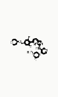 C[C@@H]1C[C@H](N)C[C@H](c2ccncc2Nc2ncc3ccc(-c4c(F)cc(COC5CCOCC5)cc4F)nn23)C1